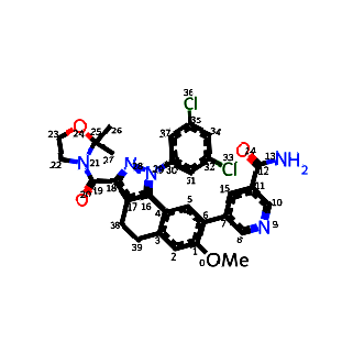 COc1cc2c(cc1-c1cncc(C(N)=O)c1)-c1c(c(C(=O)N3CCOC3(C)C)nn1-c1cc(Cl)cc(Cl)c1)CC2